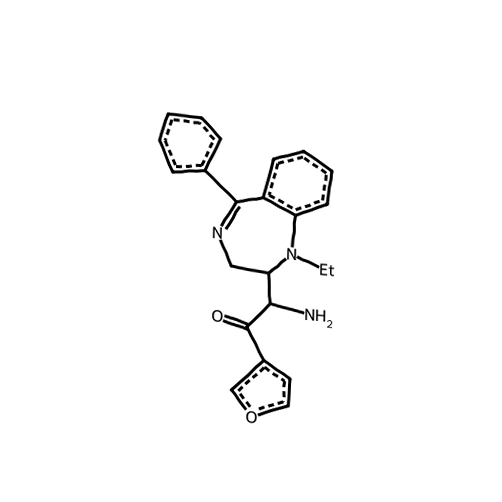 CCN1c2ccccc2C(c2ccccc2)=NCC1C(N)C(=O)c1ccoc1